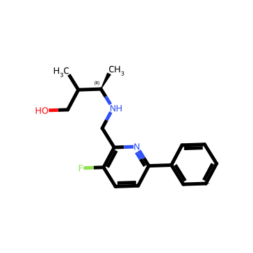 CC(CO)[C@@H](C)NCc1nc(-c2c[c]ccc2)ccc1F